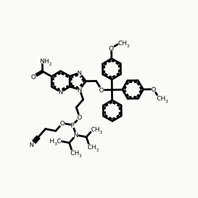 COc1ccc(C(OCc2nc3cc(C(N)=O)cnc3n2CCOP(OCCC#N)N(C(C)C)C(C)C)(c2ccccc2)c2ccc(OC)cc2)cc1